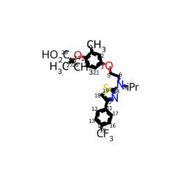 Cc1cc(OCCN(c2nc(-c3ccc(C(F)(F)F)cc3)cs2)C(C)C)ccc1OC(C)(C)C(=O)O